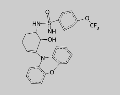 N=S(=O)(N[C@H]1CCC=C(N2c3ccccc3Oc3ccccc32)[C@@H]1O)c1ccc(OC(F)(F)F)cc1